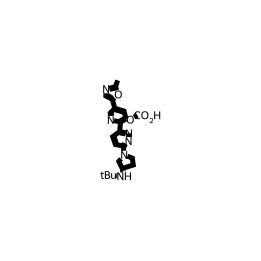 Cc1ncc(-c2cnc(-c3ccc(N4CC[C@@H](NC(C)(C)C)C4)nn3)c(OC(=O)O)c2)o1